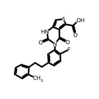 Cc1ccccc1CCc1ccc(F)c(-n2c(=O)[nH]c3csc(C(=O)O)c3c2=O)c1